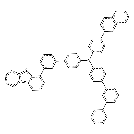 c1ccc(-c2cccc(-c3ccc(N(c4ccc(-c5cccc(-c6cccc7c6sc6ccccc67)c5)cc4)c4ccc(-c5ccc6ccccc6c5)cc4)cc3)c2)cc1